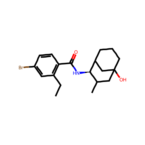 CCc1cc(Br)ccc1C(=O)N[C@@H]1C(C)CC2(O)CCCC1C2